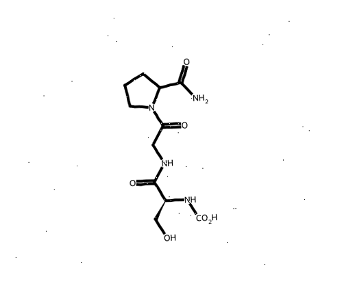 NC(=O)C1CCCN1C(=O)CNC(=O)[C@H](CO)NC(=O)O